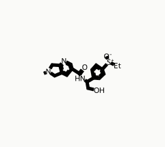 CC[S+]([O-])c1ccc(C(CO)NC(=O)c2cnc3c(c2)CN(C)C3)cc1